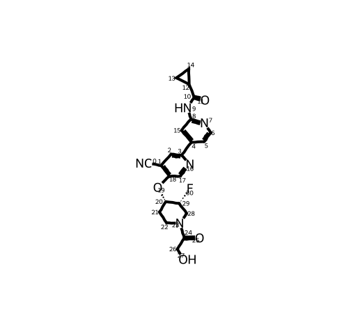 N#Cc1cc(-c2ccnc(NC(=O)C3CC3)c2)ncc1O[C@H]1CCN(C(=O)CO)C[C@H]1F